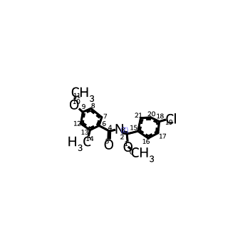 CO/C(=N\C(=O)c1ccc(OC)cc1C)c1ccc(Cl)cc1